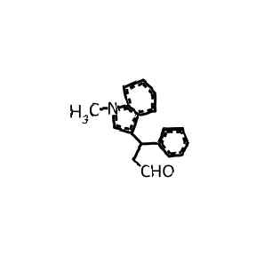 Cn1cc(C(CC=O)c2ccccc2)c2ccccc21